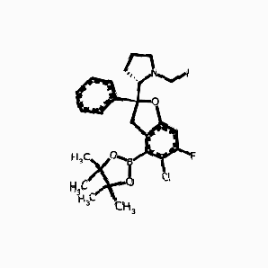 CC1(C)OB(c2c(Cl)c(F)cc3c2C[C@](c2ccccc2)([C@@H]2CCCN2CI)O3)OC1(C)C